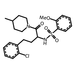 COc1ccccc1S(=O)(=O)NC(CCc1ccccc1Cl)C(=O)N1CCC(C)CC1